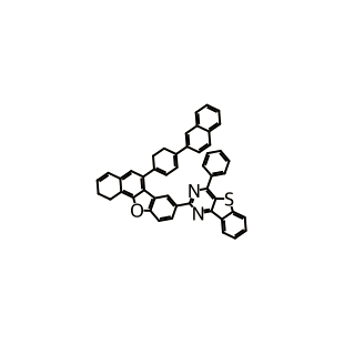 C1=Cc2cc(C3=CC=C(c4ccc5ccccc5c4)CC3)c3c(oc4ccc(-c5nc(-c6ccccc6)c6sc7ccccc7c6n5)cc43)c2CC1